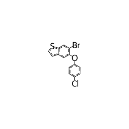 Clc1ccc(Oc2cc3ccsc3cc2Br)cc1